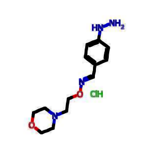 Cl.NNc1ccc(C=NOCCN2CCOCC2)cc1